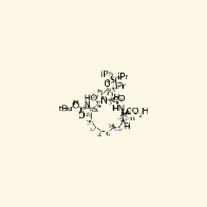 CC(C)[Si](O[C@@H]1C[C@H]2C(=O)N[C@]3(C(=O)O)C[C@H]3/C=C/CCCCC[C@H](NC(=O)OC(C)(C)C)C(=O)N2C1)(C(C)C)C(C)C